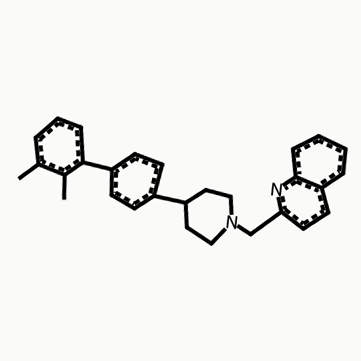 Cc1cccc(-c2ccc(C3CCN(Cc4ccc5ccccc5n4)CC3)cc2)c1C